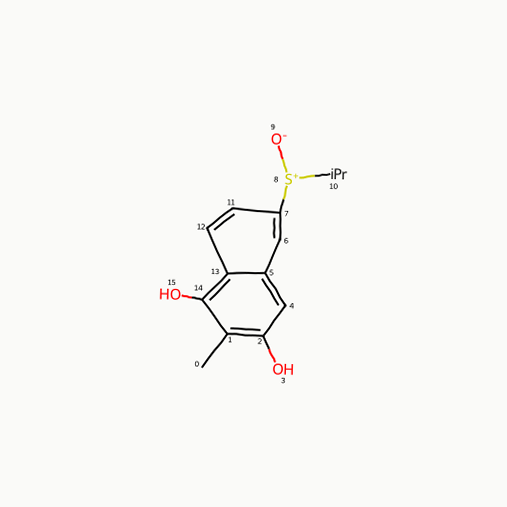 Cc1c(O)cc2cc([S+]([O-])C(C)C)ccc2c1O